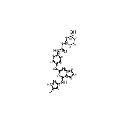 Cc1cc(Nc2nc(Sc3ccc(NC(=O)CN4CCC[C@H](O)C4)cc3)nn3cccc23)n[nH]1